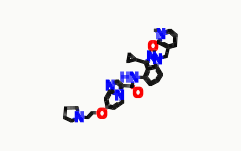 Cn1cccc(Cn2nc(C3CC3)c3c(NC(=O)c4cnc5cc(OCCN6CCCC6)ccn45)cccc32)c1=O